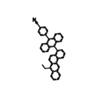 CCc1c2ccccc2cc2c1ccc1c(-c3c4ccccc4c(-c4ccc(C#N)cc4)c4ccccc34)cccc12